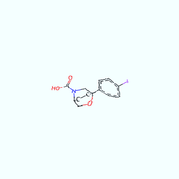 O=C(O)N1CC2(c3ccc(I)cc3)CCC1CO2